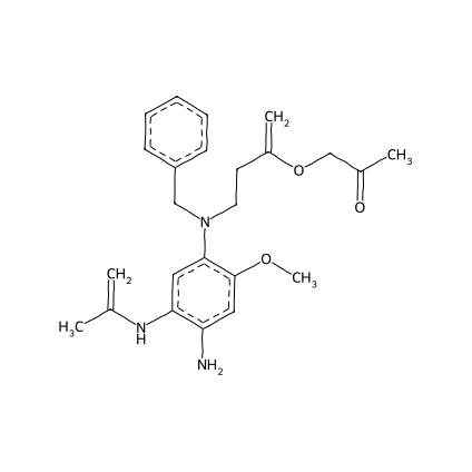 C=C(C)Nc1cc(N(CCC(=C)OCC(C)=O)Cc2ccccc2)c(OC)cc1N